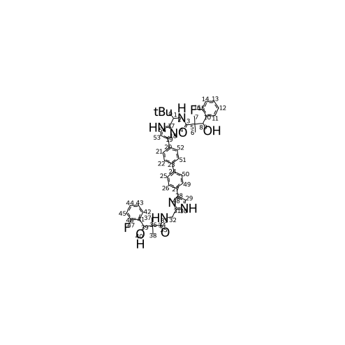 CC(C)(C)C(NC(=O)C(C)(C)C(O)c1ccccc1F)c1nc(-c2ccc(-c3ccc(-c4c[nH]c(CNC(=O)C(C)(C)C(O)c5ccccc5F)n4)cc3)cc2)c[nH]1